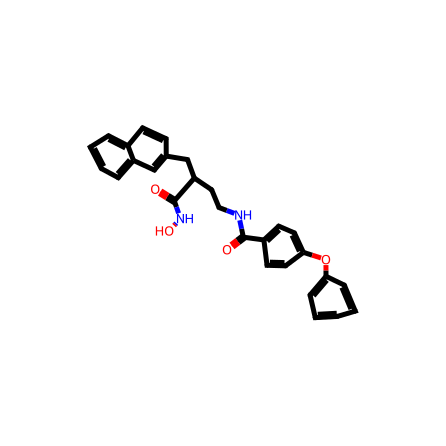 O=C(NCCC(Cc1ccc2ccccc2c1)C(=O)NO)c1ccc(Oc2ccccc2)cc1